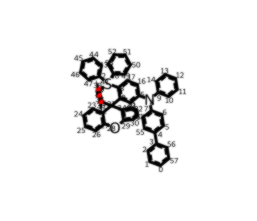 c1ccc(-c2ccc(N(c3ccccc3)c3ccc4c(c3)C3(c5ccccc5Oc5ccccc53)c3ccccc3S4(c3ccccc3)c3ccccc3)cc2)cc1